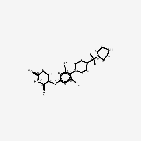 CC(C)(C1CCN(c2c(F)cc(NC3CCC(=O)NC3=O)cc2F)CC1)N1CCNCC1